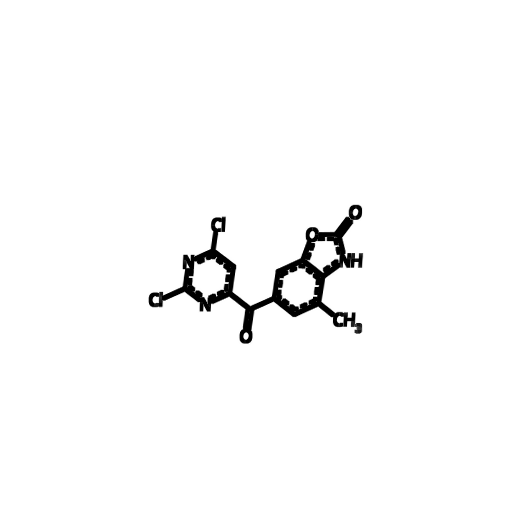 Cc1cc(C(=O)c2cc(Cl)nc(Cl)n2)cc2oc(=O)[nH]c12